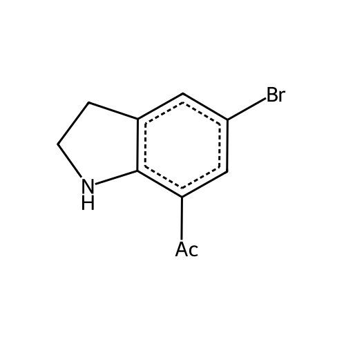 CC(=O)c1cc(Br)cc2c1NCC2